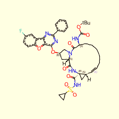 CC(C)(C)OC(=O)N[C@H]1CCCCC/C=C\[C@@H]2C[C@@]2(C(=O)NS(=O)(=O)C2CC2)NC(=O)[C@@H]2C[C@@H](Oc3nc(-c4ccccc4)nc4c3oc3ccc(F)cc34)CN2C1=O